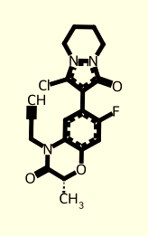 C#CCN1C(=O)[C@@H](C)Oc2cc(F)c(-c3c(Cl)n4n(c3=O)CCCC4)cc21